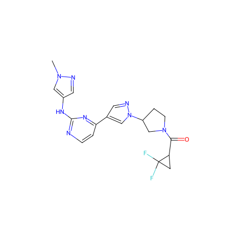 Cn1cc(Nc2nccc(-c3cnn(C4CCN(C(=O)C5CC5(F)F)C4)c3)n2)cn1